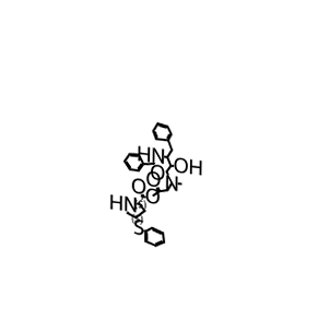 CN(CC(=O)OC(=O)[C@@H]1C[C@H](Sc2ccccc2)CN1)CC(O)C(Cc1ccccc1)NC(=O)c1ccccc1